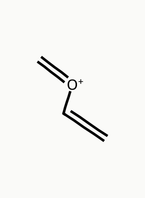 C=C[O+]=C